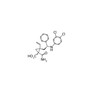 C=C[C@@]1(C[C@H](Nc2ccc(Cl)c(Cl)c2)c2ccccc2)C[C@]1(C(N)=O)C(=O)O